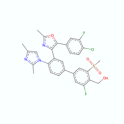 Cc1cn(-c2ccc(-c3cc(F)c(CO)c(S(C)(=O)=O)c3)cc2-c2nc(C)oc2-c2ccc(Cl)c(F)c2)c(C)n1